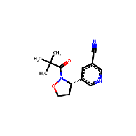 CC(C)(C)C(=O)N1OCC[C@H]1c1cncc(C#N)c1